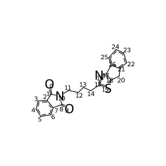 O=C1c2ccccc2C(=O)N1CCCCc1nc2c(s1)Cc1ccccc1-2